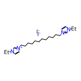 CCn1cc[n+](CCCCCCCCCCCC[n+]2ccn(CC)c2)c1.[I-].[I-]